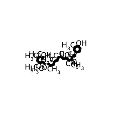 CO[C@@H](C[C@@H](C)C/C(C)=C/[C@@H](C)C(=O)C[C@H](O)[C@@H](C)[C@H](OC)/C(C)=C/[C@@H]1CC[C@@H](O)[C@H](C)C1)[C@H]1O[C@](C)(O)[C@H](C)C[C@@H]1OC